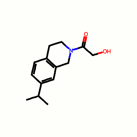 CC(C)c1ccc2c(c1)CN(C(=O)CO)CC2